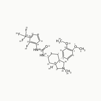 COc1ccc([C@@]23CC[C@@H](NC(=O)Nc4cccc(C(F)(F)F)c4F)C[C@@H]2CN(C)C3)cc1OC